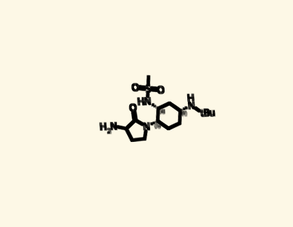 CC(C)(C)N[C@@H]1CC[C@H](N2CCC(N)C2=O)[C@H](NS(C)(=O)=O)C1